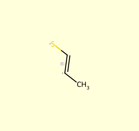 C/[C]=C/[S]